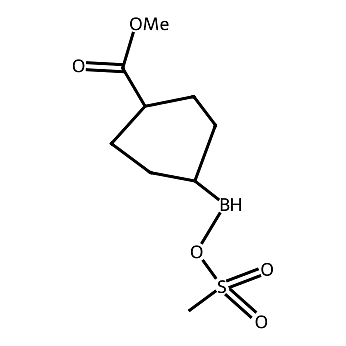 COC(=O)C1CCC(BOS(C)(=O)=O)CC1